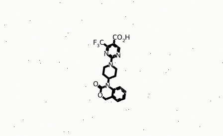 O=C(O)c1cnc(N2CCC(N3C(=O)OCc4ccccc43)CC2)nc1C(F)(F)F